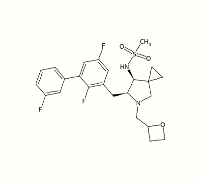 CS(=O)(=O)N[C@@H]1[C@H](Cc2cc(F)cc(-c3cccc(F)c3)c2F)N(CC2CCO2)CC12CC2